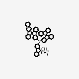 CC1(C)c2ccccc2-c2ccc(N(c3ccc4c(c3)-c3ccccc3C43c4ccccc4-c4cc5ccccc5cc43)c3ccc4c(c3)C3(c5ccccc5-c5ccccc53)c3ccccc3-4)cc21